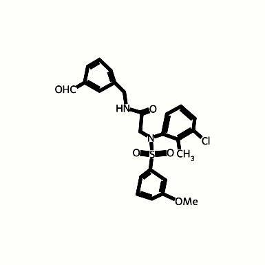 COc1cccc(S(=O)(=O)N(CC(=O)NCc2cccc(C=O)c2)c2cccc(Cl)c2C)c1